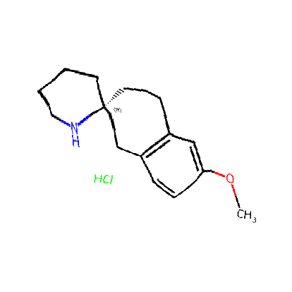 COc1ccc2c(c1)CC[C@]1(CCCCN1)C2.Cl